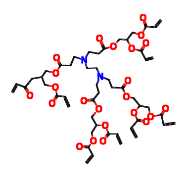 C=CC(=O)CC(COC(=O)C=C)COC(=O)CCN(CCC(=O)OCC(COC(=O)C=C)OC(=O)C=C)CCN(CCC(=O)OCC(COC(=O)C=C)OC(=O)C=C)CCC(=O)OCC(COC(=O)C=C)OC(=O)C=C